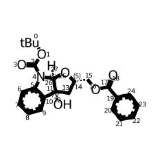 CC(C)(C)OC(=O)N1c2ccccc2[C@]2(O)C[C@@H](COC(=O)c3ccccc3)O[C@H]12